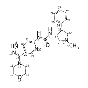 CN1C[C@H](NC(=O)Nc2cc3[nH]nc(N4CCOCC4)c3cn2)[C@H](c2ccccc2)C1